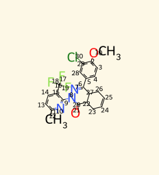 COc1ccc(C2=NN(c3nc(C)ccc3C(F)(F)F)C(=O)C3CC=CCC23)cc1Cl